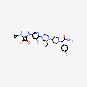 CC[C@H]1CN(c2ncc(N(C)c3c(NC4CC4)c(=O)c3=O)cc2Cl)CCN1C1CCN([C@H](C(N)=O)c2ccc(Cl)cc2)CC1